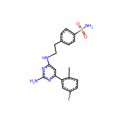 Cc1ccc(F)cc1-c1cc(NCCc2ccc(S(N)(=O)=O)cc2)nc(N)n1